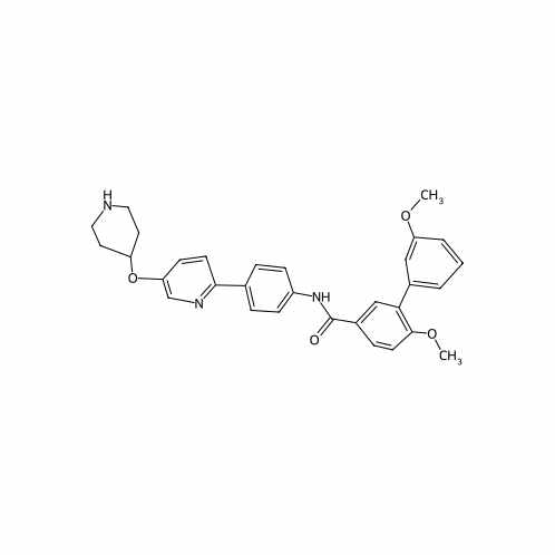 COc1cccc(-c2cc(C(=O)Nc3ccc(-c4ccc(OC5CCNCC5)cn4)cc3)ccc2OC)c1